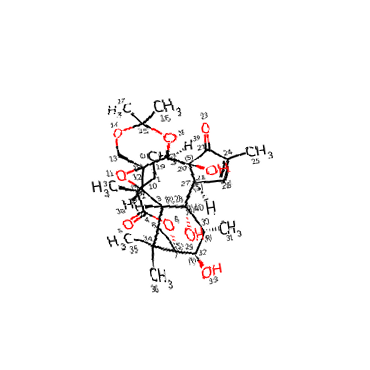 CC[C@H](C)C(=O)O[C@]12C([C@@H]3[C@@H]4O[C@@]45COC(C)(C)O[C@H]5[C@]4(O)C(=O)C(C)=C[C@H]4[C@@]3(O)[C@H](C)[C@H]1O)C2(C)C